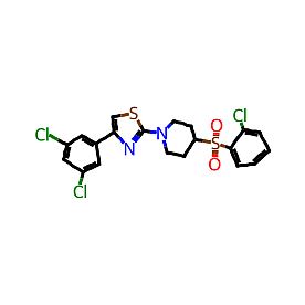 O=S(=O)(c1ccccc1Cl)C1CCN(c2nc(-c3cc(Cl)cc(Cl)c3)cs2)CC1